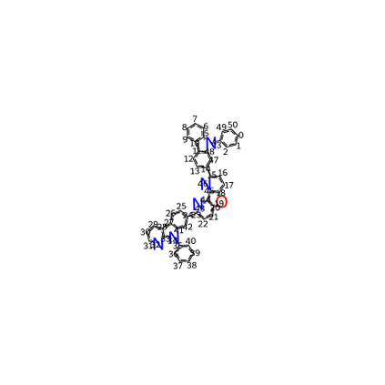 c1ccc(-n2c3ccccc3c3ccc(-c4ccc5oc6ccc(-c7ccc8c9cccnc9n(-c9ccccc9)c8c7)nc6c5n4)cc32)cc1